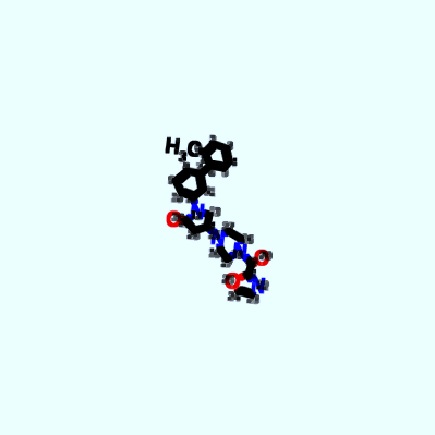 Cc1ccccc1-c1cccc(N2CC(N3CCN(C(=O)c4ncco4)CC3)CC2=O)c1